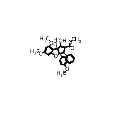 COC(=O)C1=C(O)[C@@]2(O)c3c(OC)cc(OC)cc3O[C@@]2(c2ccc(OC)cc2)[C@@H]1c1ccccc1